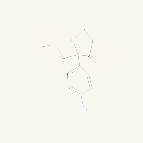 COC(=O)C1(c2ccc(N)cc2F)NCCC1=O